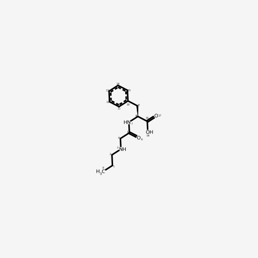 CCCNCC(=O)N[C@@H](Cc1ccccc1)C(=O)O